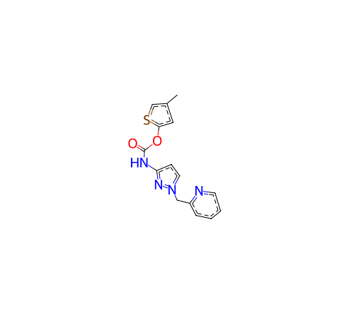 Cc1csc(OC(=O)Nc2ccn(Cc3ccccn3)n2)c1